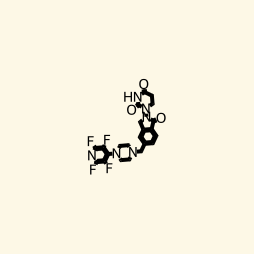 O=C1CCN(N2Cc3cc(CN4CCN(c5c(F)c(F)nc(F)c5F)CC4)ccc3C2=O)C(=O)N1